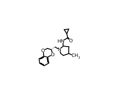 CC1CCN(C[C@H]2COc3ccccc3O2)C(NC(=O)C2CC2)C1